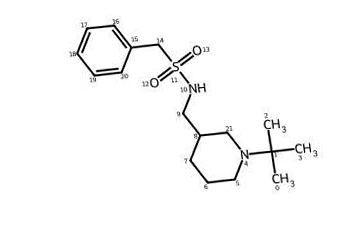 CC(C)(C)N1CCCC(CNS(=O)(=O)Cc2ccccc2)C1